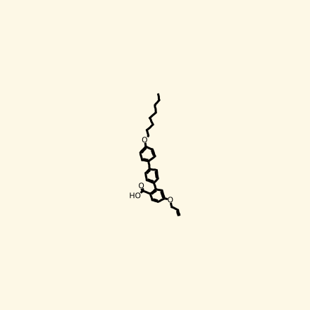 C=CCOc1ccc(C(=O)O)c(-c2ccc(-c3ccc(OCCCCCCCC)cc3)cc2)c1